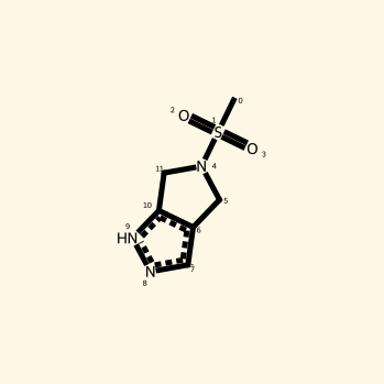 CS(=O)(=O)N1Cc2[c]n[nH]c2C1